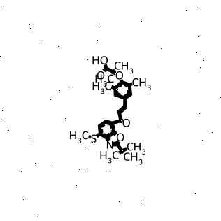 CSc1ccc(C(=O)/C=C/c2cc(C)c(OC(C)(C)C(=O)O)c(C)c2)c2oc(C(C)(C)C)nc12